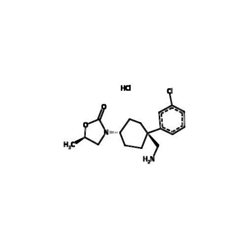 C[C@@H]1CN([C@H]2CC[C@@](CN)(c3cccc(Cl)c3)CC2)C(=O)O1.Cl